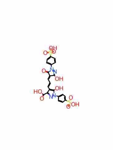 O=C(O)c1nn(-c2ccc(S(=O)(=O)O)cc2)c(O)c1C=CC=C1C(=O)N(c2ccc(S(=O)(=O)O)cc2)N=C1O